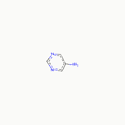 Nc1[c]ncnc1